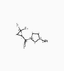 CC(C)C1CCN(C(=O)C2CC2(F)F)C1